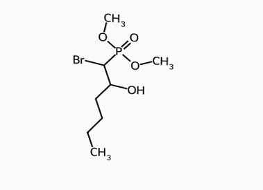 CCCCC(O)C(Br)P(=O)(OC)OC